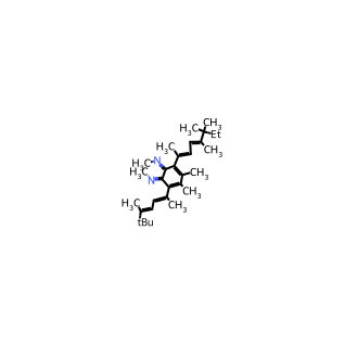 CCC(C)(C)/C(C)=C/C=C(\C)C1=C(C)C(C)=C(/C(C)=C/C=C(\C)C(C)(C)C)C(=N/C)/C1=N\C